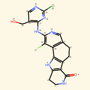 O=C1NCCc2[nH]c3c(c21)CCc1cnc(Nc2nc(Cl)ncc2CO)c(F)c1-3